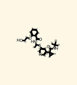 CC(NC(=O)c1ccccc1OCCO)Sc1cncc(C2(C(=O)NC(C)(C)C)CC2)c1